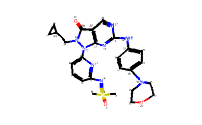 CS(C)(=O)=Nc1cccc(-n2c3nc(Nc4ccc(N5CCOCC5)cc4)ncc3c(=O)n2CC2CC2)n1